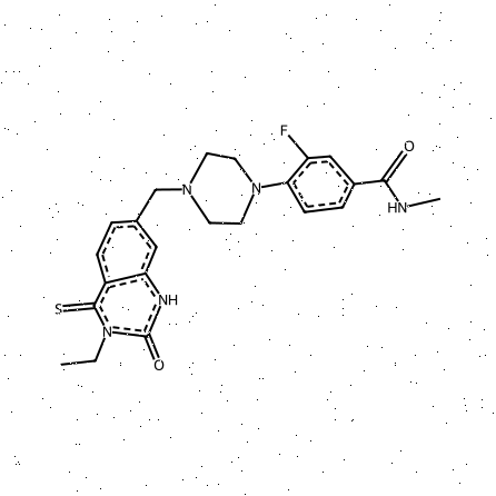 CCn1c(=O)[nH]c2cc(CN3CCN(c4ccc(C(=O)NC)cc4F)CC3)ccc2c1=S